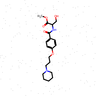 COC(=O)C(CO)NC(=O)c1ccc(OCCCN2CCCCC2)cc1